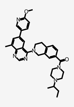 CCC(C)N1CCN(C(=O)c2ccc3c(c2)CN(c2ncnc4c(C)cc(-c5ccc(OC)nc5)cc24)CC3)CC1